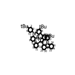 CC(C)(C)c1ccc(N2c3ccccc3B3c4c(cc(C(C)(C)C)cc42)-c2cc(C(C)(C)C)cc4c(-c5cccc6c7ccccc7n(-c7ccccc7)c56)c(-c5ccccc5)n3c24)cc1